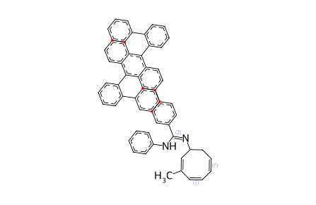 CC1=CC(/N=C(\Nc2ccccc2)c2ccc(-c3ccc4c(-c5ccccc5-c5ccccc5)c5ccccc5c(-c5ccccc5-c5ccccc5)c4c3)cc2)C/C=C\C=C/1